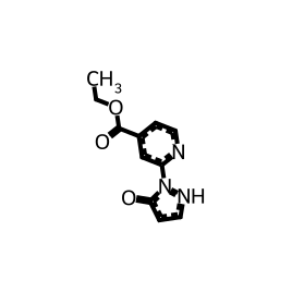 CCOC(=O)c1ccnc(-n2[nH]ccc2=O)c1